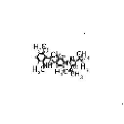 CNc1cccc(OC)c1COc1ccc(-n2nc(C(C)C)cc2C(C)C)cc1Cl